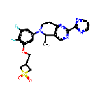 CC1c2cnc(-c3ncccn3)nc2CCN1c1cc(F)c(F)c(OCC2CS(=O)(=O)C2)c1